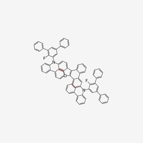 Fc1c(-c2ccccc2)cc(-c2ccccc2)cc1N(c1ccc2c(c1)oc1c3ccc(N(c4ccccc4-c4ccccc4)c4cc(-c5ccccc5)cc(-c5ccccc5)c4F)cc3c3ccccc3c21)c1ccccc1-c1ccccc1